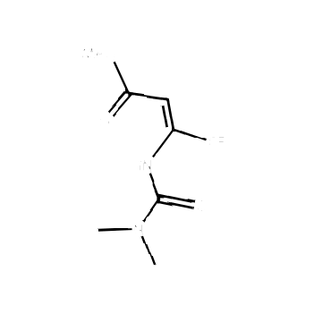 COC(=O)/C=C(\NC(=O)N(C)C)C(F)(F)F